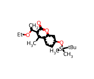 C=C(OCC)c1c(C)c2ccc(O[Si](C)(C)C(C)(C)C)cc2oc1=O